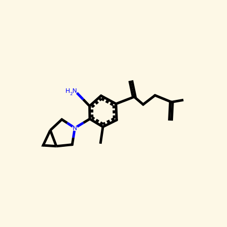 C=C(C)CCC(=C)c1cc(C)c(N2CC3CC3C2)c(N)c1